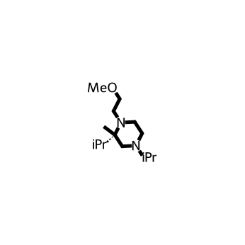 COCCN1CCN(C(C)C)C[C@]1(C)C(C)C